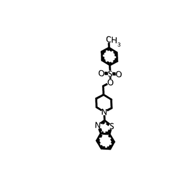 Cc1ccc(S(=O)(=O)OCC2CCN(c3nc4ccccc4s3)CC2)cc1